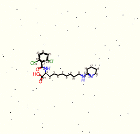 O=C(N[C@@H](CCCCCCCCNC1=NCCCC1)C(=O)O)c1c(Cl)cccc1Cl